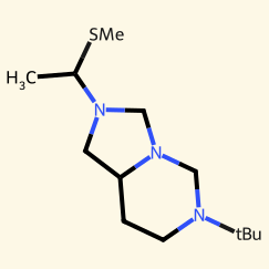 CSC(C)N1CC2CCN(C(C)(C)C)CN2C1